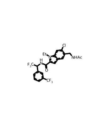 CCn1c(C(=O)NC(c2cccc(C(F)(F)F)c2)C(F)(F)F)cc2cc(CNC(C)=O)c(Cl)cc21